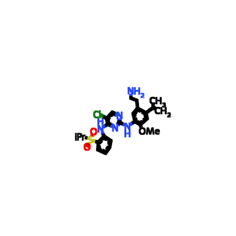 C=C(C)c1cc(OC)c(Nc2ncc(Cl)c(Nc3ccccc3S(=O)(=O)C(C)C)n2)cc1CCN